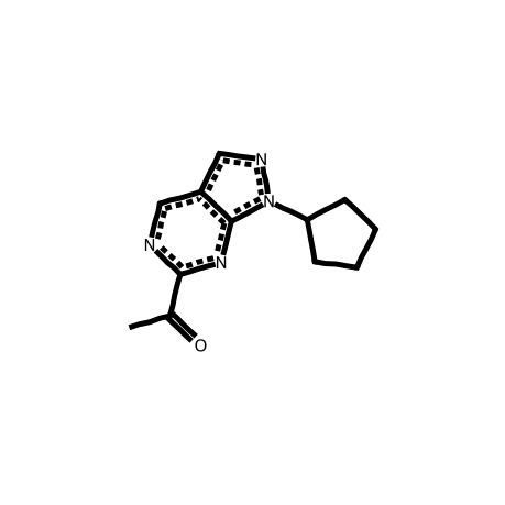 CC(=O)c1ncc2cnn(C3CCCC3)c2n1